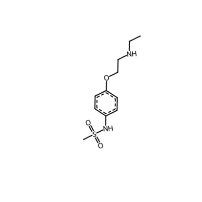 CCNCCOc1ccc(NS(C)(=O)=O)cc1